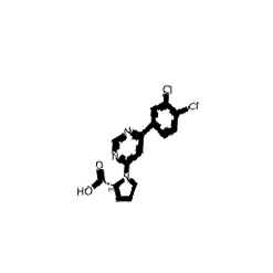 O=C(O)[C@H]1CCCN1c1cc(-c2ccc(Cl)c(Cl)c2)ncn1